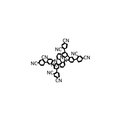 N#Cc1ccc(-c2ccc3c(c2)c2cc(-c4ccc(C#N)cc4C#N)ccc2n3-c2cccnc2-c2c(C#N)cccc2-n2c3ccc(-c4ccc(C#N)cc4C#N)cc3c3cc(-c4ccc(C#N)cc4C#N)ccc32)c(C#N)c1